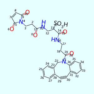 O=C(CCN1C(=O)C=CC1=O)NCC(C(=O)NCCC(=O)N1Cc2ccccc2C#Cc2ccccc21)S(=O)(=O)O